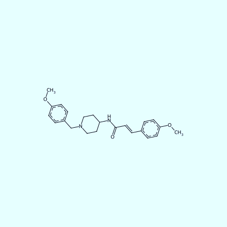 COc1ccc(C=CC(=O)NC2CCN(Cc3ccc(OC)cc3)CC2)cc1